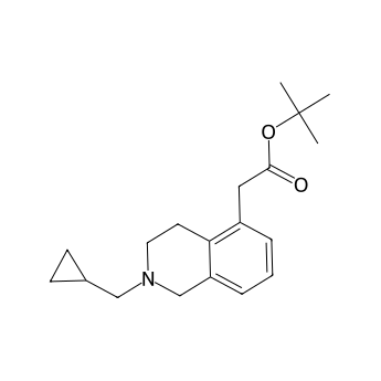 CC(C)(C)OC(=O)Cc1cccc2c1CCN(CC1CC1)C2